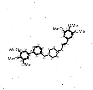 COc1cc(/C=C/CN2CCN(Cc3ccnc(-c4cc(OC)c(OC)c(OC)c4)c3)CC2)cc(OC)c1OC